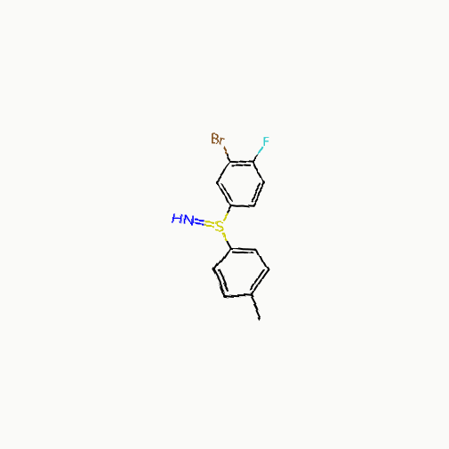 Cc1ccc(S(=N)c2ccc(F)c(Br)c2)cc1